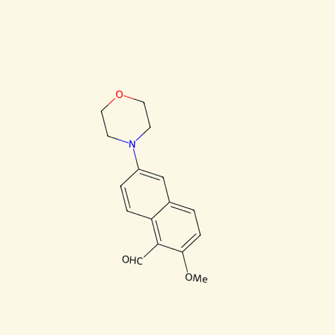 COc1ccc2cc(N3CCOCC3)ccc2c1C=O